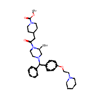 CC(C)(C)OC(=O)N1CCC(CC(=O)N2CCN(C(c3ccccc3)c3ccc(OCCN4CCCCC4)cc3)C[C@@H]2C(C)(C)C)CC1